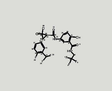 O=C(NCC(F)(F)F)c1cc(NC(=O)[C@H]2[C@H](c3ccc(F)c(C(F)F)c3)C2(Cl)Cl)ccc1Cl